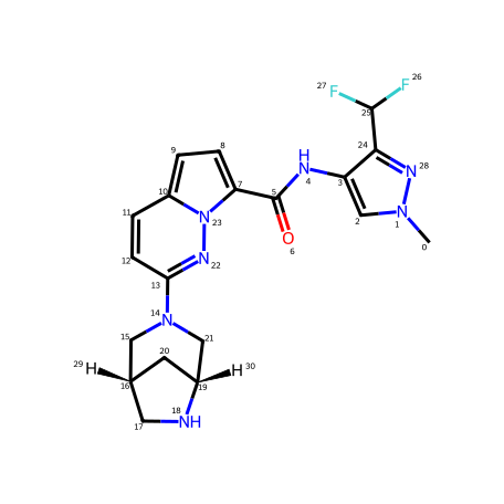 Cn1cc(NC(=O)c2ccc3ccc(N4C[C@H]5CN[C@H](C5)C4)nn23)c(C(F)F)n1